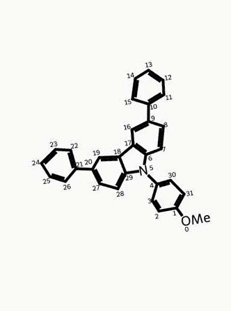 COc1ccc(-n2c3ccc(-c4ccccc4)cc3c3cc(-c4ccccc4)ccc32)cc1